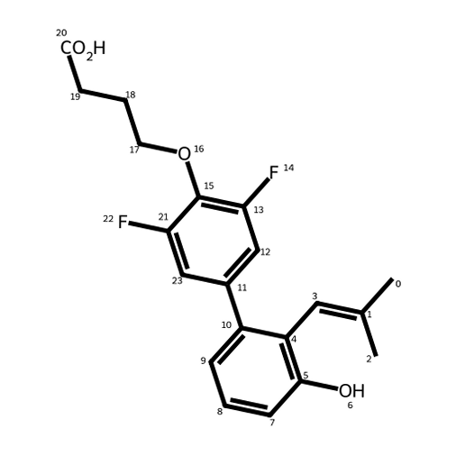 CC(C)=Cc1c(O)cccc1-c1cc(F)c(OCCCC(=O)O)c(F)c1